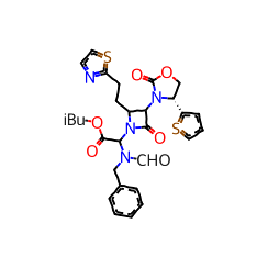 CCC(C)OC(=O)C(N(C=O)Cc1ccccc1)N1C(=O)C(N2C(=O)OC[C@@H]2c2cccs2)C1CCc1nccs1